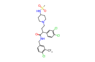 CS(=O)(=O)NC1CCN(CCC(C(=O)NCc2ccc(Cl)c(C(F)(F)F)c2)c2ccc(Cl)c(Cl)c2)CC1